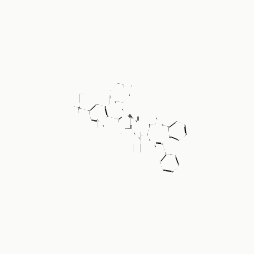 C[C@H]1CN(c2cc(C(F)(F)F)cnc2-c2nnc(N[C@H]3N=C(c4ccccc4)c4ccccc4NC3=O)o2)CCO1